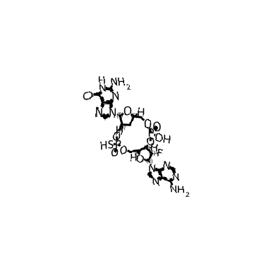 Nc1nc2c(ncn2[C@@H]2O[C@@H]3COP(=O)(O)O[C@H]4[C@H](F)[C@H](n5cnc6c(N)ncnc65)O[C@@H]4COP(=O)(S)O[C@H]2C3)c(=O)[nH]1